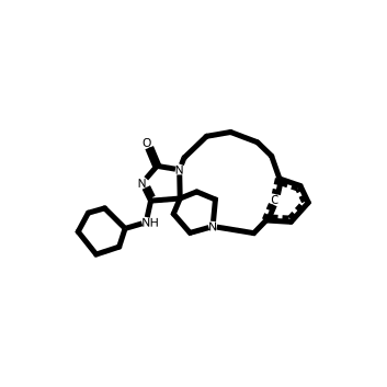 O=C1N=C(NC2CCCCC2)C23CCN(CC2)Cc2cccc(c2)CCCCCN13